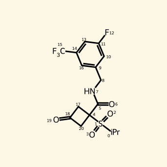 CC(C)S(=O)(=O)C1(C(=O)NCc2cc(F)cc(C(F)(F)F)c2)CC(=O)C1